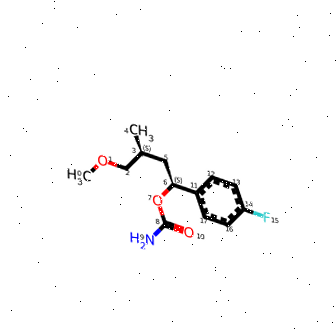 COC[C@@H](C)C[C@H](OC(N)=O)c1ccc(F)cc1